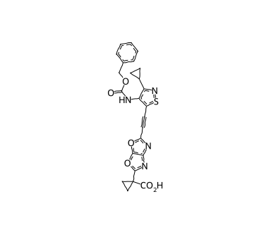 O=C(Nc1c(C2CC2)nsc1C#Cc1nc2nc(C3(C(=O)O)CC3)oc2o1)OCc1ccccc1